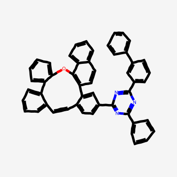 C1=C\c2ccc(-c3nc(-c4ccccc4)nc(-c4cccc(-c5ccccc5)c4)n3)cc2-c2ccc3ccccc3c2Oc2ccccc2-c2ccccc2/1